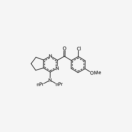 CCCN(CCC)c1nc(C(=O)c2ccc(OC)cc2Cl)nc2c1CCC2